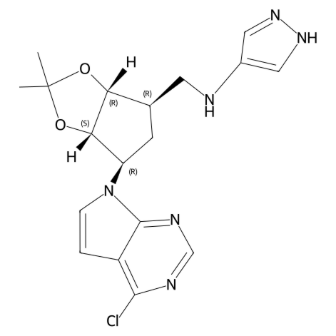 CC1(C)O[C@@H]2[C@@H](CNc3cn[nH]c3)C[C@@H](n3ccc4c(Cl)ncnc43)[C@@H]2O1